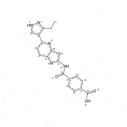 CCc1n[nH]cc1-c1ccc2nc(NC(=O)c3ccc(C(=O)O)cc3)sc2n1